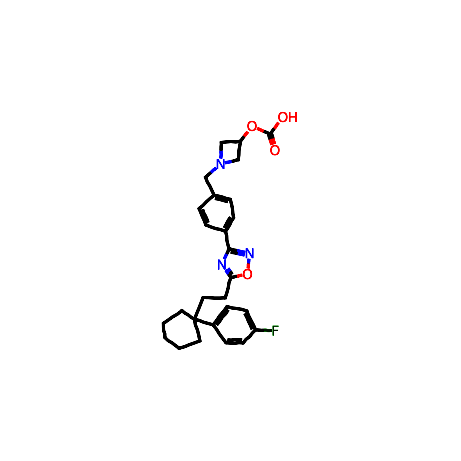 O=C(O)OC1CN(Cc2ccc(-c3noc(CCC4(c5ccc(F)cc5)CCCCC4)n3)cc2)C1